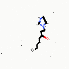 CCCCCC(=O)C=Cn1ccnc1